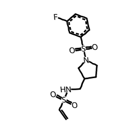 C=CS(=O)(=O)NCC1CCN(S(=O)(=O)c2cccc(F)c2)C1